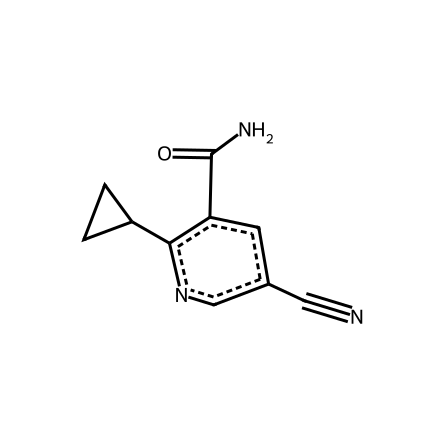 N#Cc1cnc(C2CC2)c(C(N)=O)c1